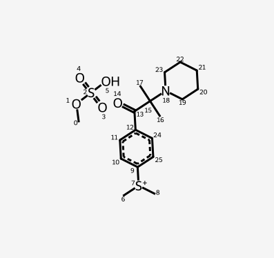 COS(=O)(=O)O.C[S+](C)c1ccc(C(=O)C(C)(C)N2CCCCC2)cc1